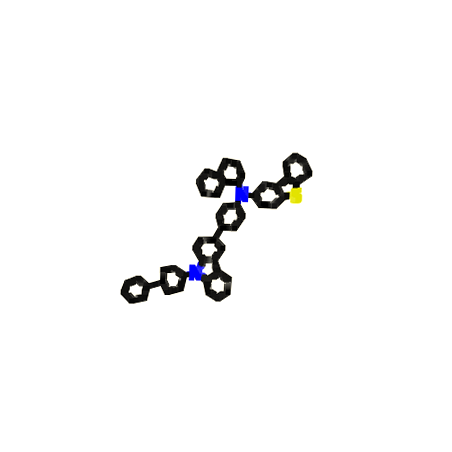 c1ccc(-c2ccc(-n3c4ccccc4c4cc(-c5ccc(N(c6ccc7sc8ccccc8c7c6)c6cccc7ccccc67)cc5)ccc43)cc2)cc1